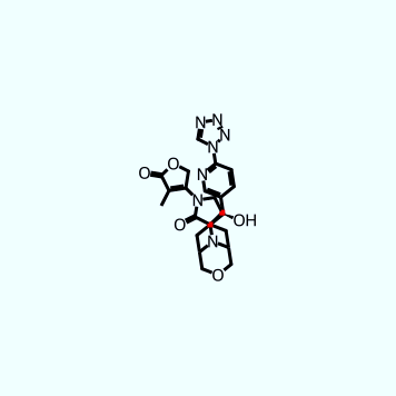 CC1=C(N2CCC3(CC4COCC(C3)N4C[C@H](O)c3ccc(-n4cnnn4)nc3)C2=O)COC1=O